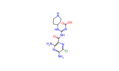 Nc1nc(N)c(C(=O)N/C(=N/C(=O)O)NC2CCNCC2)nc1Cl